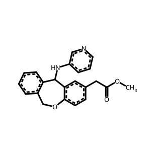 COC(=O)Cc1ccc2c(c1)C(Nc1cccnc1)c1ccccc1CO2